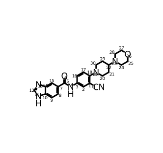 N#Cc1cc(NC(=O)c2ccc3[nH]cnc3c2)ccc1N1CCC(N2CCOCC2)CC1